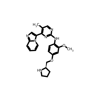 COc1cc(OC[C@H]2CCCN2)ccc1Nc1ncc(C)c(-c2cnc3ccccn23)n1